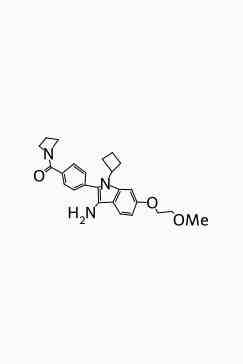 COCCOc1ccc2c(N)c(-c3ccc(C(=O)N4CCC4)cc3)n(C3CCC3)c2c1